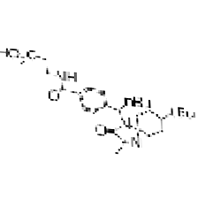 CCCC[C@H](c1ccc(C(=O)NCCC(=O)O)cc1)N1C(=O)C(C)=NC12CCC(C(C)(C)C)CC2